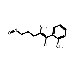 C/C(CCCN=O)=C(/Cl)c1ccccc1C